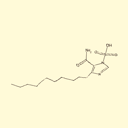 CCCCCCCCCCc1ncn(S(=O)(=O)O)c1C(N)=O